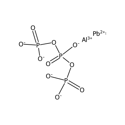 O=P([O-])([O-])OP(=O)([O-])OP(=O)([O-])[O-].[Al+3].[Pb+2]